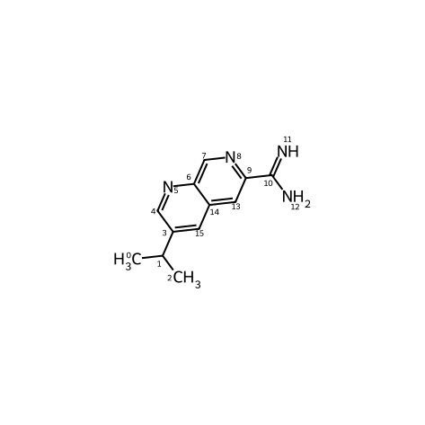 CC(C)c1cnc2cnc(C(=N)N)cc2c1